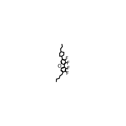 CCCCCc1cc2oc3cc(C4CCC(CCC)CC4)c(F)c(F)c3c2c(F)c1F